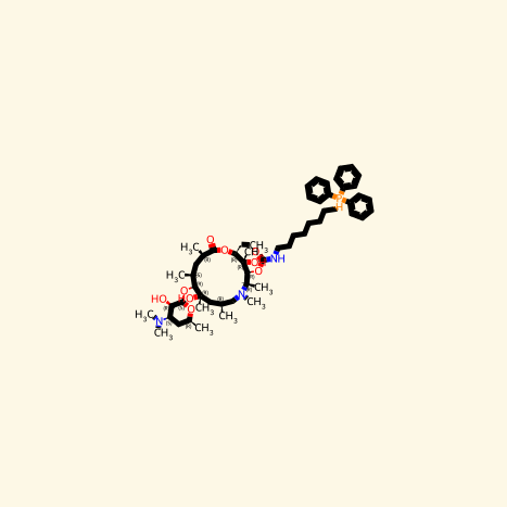 CC[C@H]1OC(=O)[C@H](C)C[C@H](C)[C@@H](O[C@@H]2O[C@H](C)C[C@H](N(C)C)[C@H]2O)[C@](C)(O)C[C@@H](C)CN(C)[C@H](C)[C@@H](OC(=O)NCCCCCCCC[PH](c2ccccc2)(c2ccccc2)c2ccccc2)[C@]1(C)O